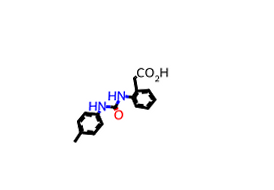 Cc1ccc(NC(=O)Nc2ccccc2CC(=O)O)cc1